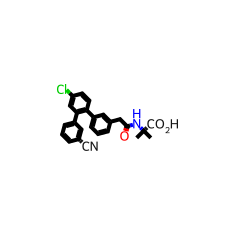 CC(C)(NC(=O)Cc1cccc(-c2ccc(Cl)cc2-c2cccc(C#N)c2)c1)C(=O)O